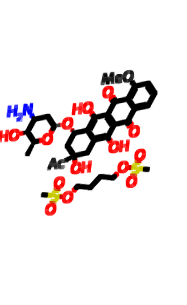 COc1cccc2c1C(=O)c1c(O)c3c(c(O)c1C2=O)C[C@@](O)(C(C)=O)C[C@@H]3O[C@H]1C[C@H](N)[C@H](O)[C@H](C)O1.CS(=O)(=O)OCCCCOS(C)(=O)=O